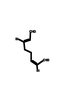 CCC(C=O)=CCCC(=CC=O)CC